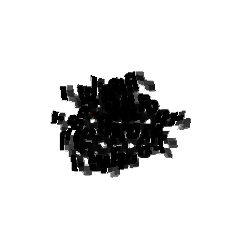 COc1ccc(ON2P(Oc3ccc(OC)c(OC)c3OC)N=P(Oc3ccc(OC)c(OC)c3OC)(Oc3ccc(OC)c(OC)c3OC)N(Oc3ccc(OC)c(OC)c3OC)P2Oc2ccc(OC)c(OC)c2OC)c(OC)c1OC